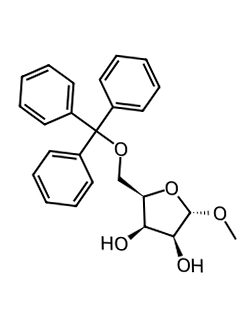 CO[C@H]1O[C@H](COC(c2ccccc2)(c2ccccc2)c2ccccc2)[C@H](O)[C@@H]1O